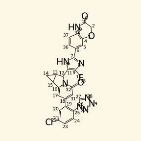 O=C1COc2cc(-c3nc(F)c(C4C5CC5c5cc(-c6cc(Cl)ccc6-n6cnnn6)cc(=O)n54)[nH]3)ccc2N1